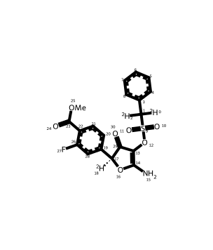 [2H]C([2H])(c1ccccc1)S(=O)(=O)OC1=C(N)O[C@@]([2H])(c2ccc(C(=O)OC)c(F)c2)C1=O